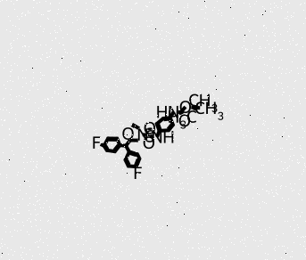 CC(C)(C)OC(=O)Nc1ccc(NS(=O)(=O)N2CCOC(C(c3ccc(F)cc3)c3ccc(F)cc3)C2)cc1